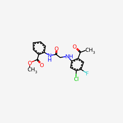 COC(=O)c1ccccc1NC(=O)CNc1cc(Cl)c(F)cc1C(C)=O